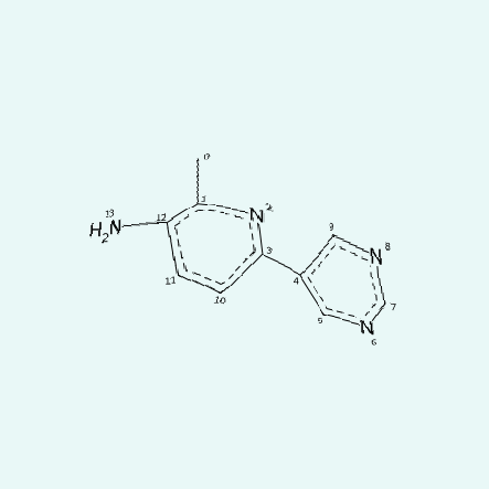 Cc1nc(-c2cncnc2)ccc1N